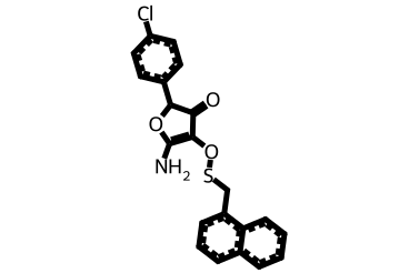 NC1=C(OSCc2cccc3ccccc23)C(=O)C(c2ccc(Cl)cc2)O1